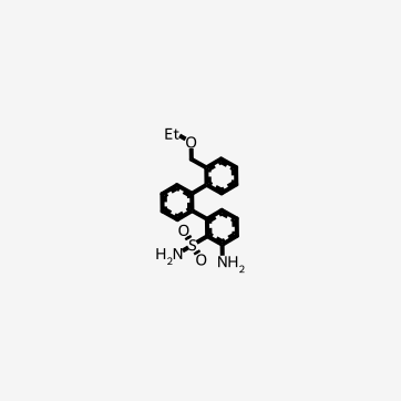 CCOCc1ccccc1-c1ccccc1-c1cccc(N)c1S(N)(=O)=O